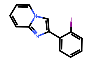 Ic1ccccc1-c1cn2ccccc2n1